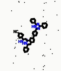 N#Cc1ccc(C(=N)/C=C2\NC(c3ccccc3)=Cc3ccc(-c4ccc(C5=NC(c6ccccc6)=NC(c6ccccc6)N5)cc4)cc32)cc1